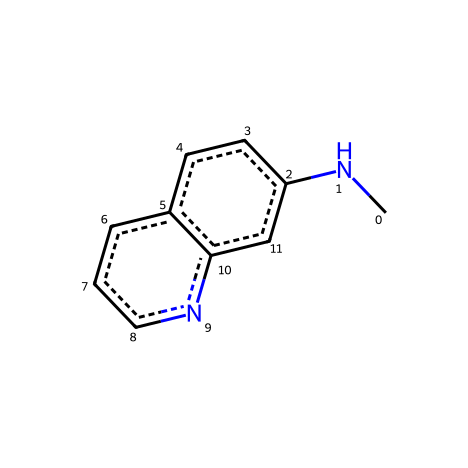 CNc1ccc2cccnc2c1